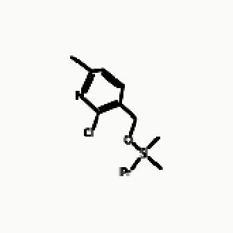 Cc1ccc(CO[Si](C)(C)C(C)C)c(Cl)n1